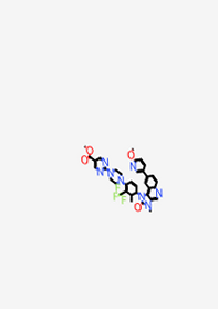 COC(=O)c1cnc(N2CCN(C3=C(C(F)(F)F)C(C)C(n4c(=O)n(C)c5cnc6ccc(-c7ccc(OC)nc7)cc6c54)C=C3)CC2)nc1